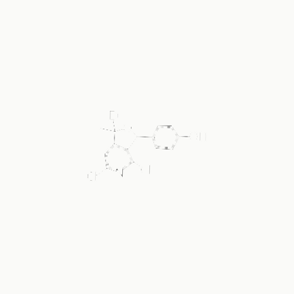 CCC1(C)OC(c2ccc(O)cc2)c2c1cc(Cl)nc2Cl